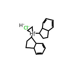 C1=CC2CC[CH]([Hf]3([CH]4CCC5C=CC=CC54)[CH2][CH2]3)C2C=C1.[Cl-].[H-]